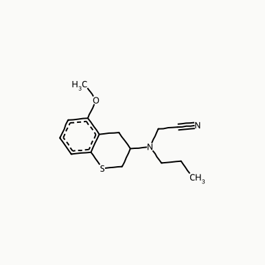 CCCN(CC#N)C1CSc2cccc(OC)c2C1